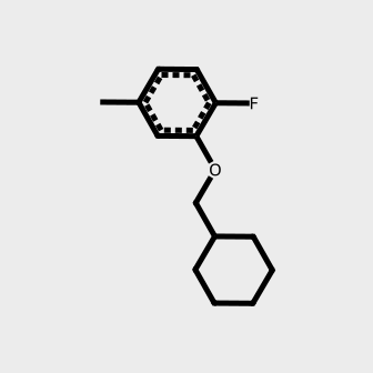 Cc1ccc(F)c(OCC2CCCCC2)c1